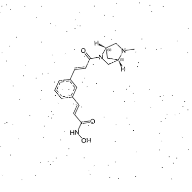 CN1C[C@@H]2C[C@H]1CN2C(=O)C=Cc1cccc(C=CC(=O)NO)c1